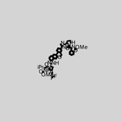 COC(=O)N[C@H](C(=O)N1C[C@@H](COC(F)F)C[C@H]1c1nc2ccc3cc4c(cc3c2[nH]1)OCc1cc(-c2cnc(C3CCCN3C(=O)[C@H](NC(=O)OC)c3ccccc3)[nH]2)ccc1-4)C(C)C